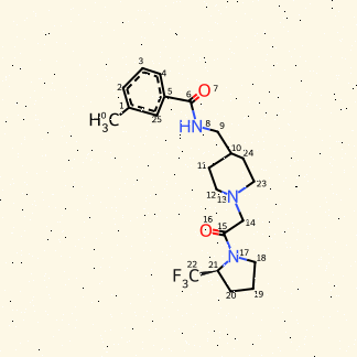 Cc1cccc(C(=O)NCC2CCN(CC(=O)N3CCC[C@H]3C(F)(F)F)CC2)c1